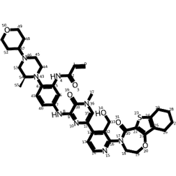 C=CC(=O)Nc1cc(Nc2nc(-c3ccnc(N4CCOc5c(sc6c5CCCC6)C4=O)c3CO)cn(C)c2=O)ccc1N1CCN(C2CCOCC2)C[C@@H]1C